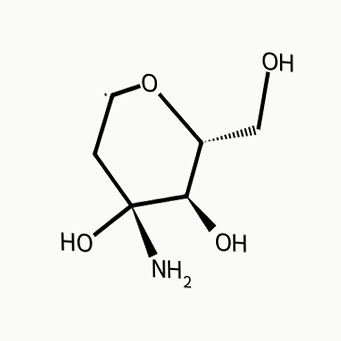 N[C@@]1(O)C[CH]O[C@H](CO)[C@H]1O